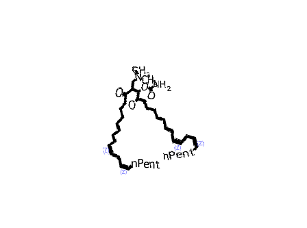 CCCCC/C=C\C/C=C\CCCCCCCC(=O)C(CN(C)C)C(OC(N)=O)C(=O)CCCCCCC/C=C\C/C=C\CCCCC